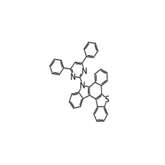 c1ccc(-c2cc(-c3ccccc3)nc(-n3c4ccccc4c4c5c6ccccc6sc5c5ccccc5c43)n2)cc1